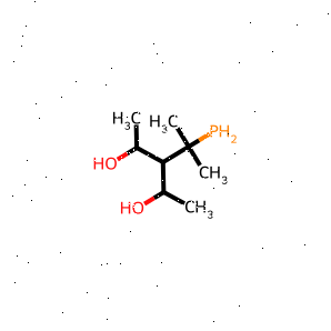 CC(O)C(C(C)O)C(C)(C)P